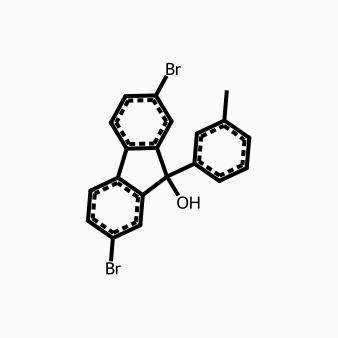 Cc1cccc(C2(O)c3cc(Br)ccc3-c3ccc(Br)cc32)c1